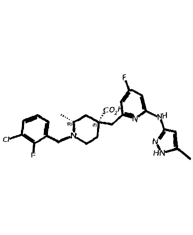 Cc1cc(Nc2cc(F)cc(C[C@@]3(C(=O)O)CCN(Cc4cccc(Cl)c4F)[C@H](C)C3)n2)n[nH]1